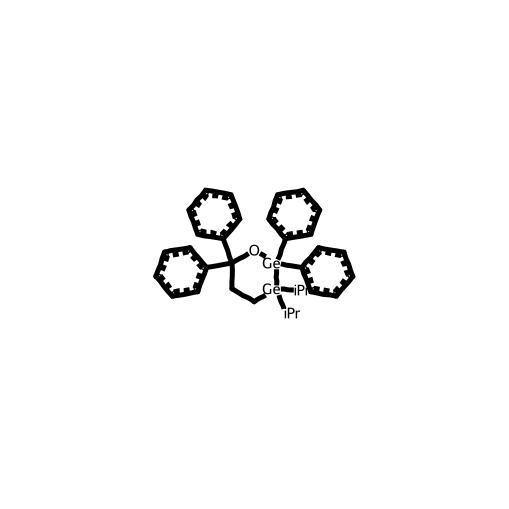 C[CH](C)[Ge]1([CH](C)C)[CH2]CC(c2ccccc2)(c2ccccc2)[O][Ge]1([c]1ccccc1)[c]1ccccc1